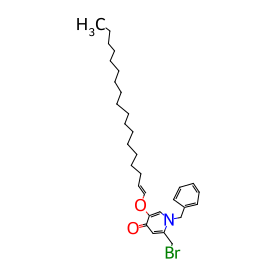 CCCCCCCCCCCCCCCCC=COc1cn(Cc2ccccc2)c(CBr)cc1=O